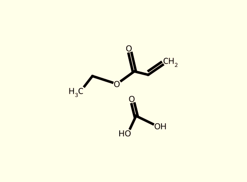 C=CC(=O)OCC.O=C(O)O